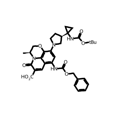 C[C@H]1COc2c(N3CC[C@@H](C4(NC(=O)OC(C)(C)C)CC4)C3)cc(NC(=O)OCc3ccccc3)c3cc(C(=O)O)c(=O)n1c23